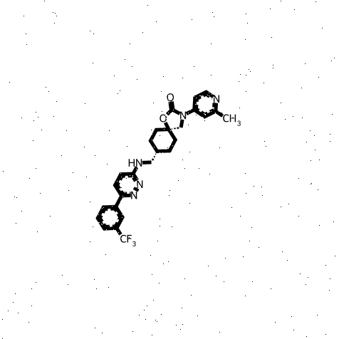 Cc1cc(N2C[C@]3(CC[C@@H](CNc4ccc(-c5cccc(C(F)(F)F)c5)nn4)CC3)OC2=O)ccn1